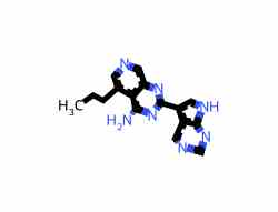 CCCc1cncc2nc(-c3c[nH]c4ncncc34)nc(N)c12